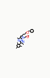 COCCn1c(CCCOCc2ccccc2)cc2c(C)nc3c(-c4c(C)cc(C)cc4C)c(C)nn3c21